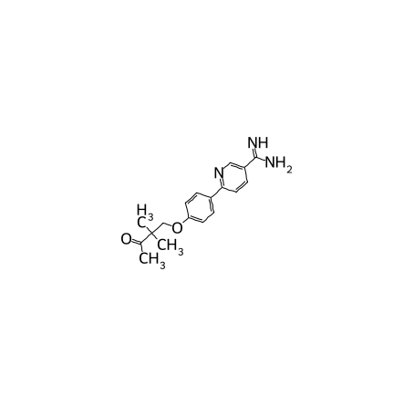 CC(=O)C(C)(C)COc1ccc(-c2ccc(C(=N)N)cn2)cc1